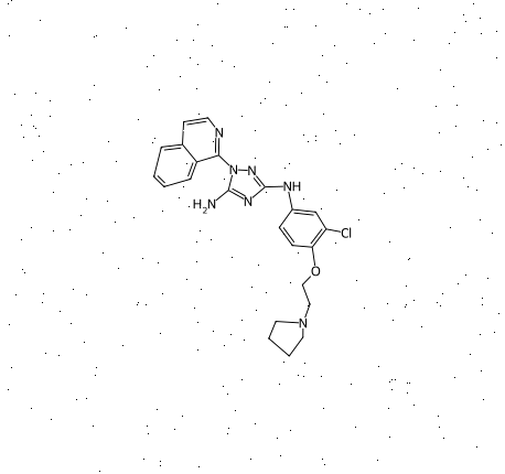 Nc1nc(Nc2ccc(OCCN3CCCC3)c(Cl)c2)nn1-c1nccc2ccccc12